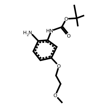 COCCOc1ccc(N)c(NC(=O)OC(C)(C)C)c1